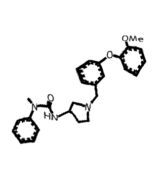 COc1ccccc1Oc1cccc(CN2CCC(NC(=O)N(C)c3ccccc3)C2)c1